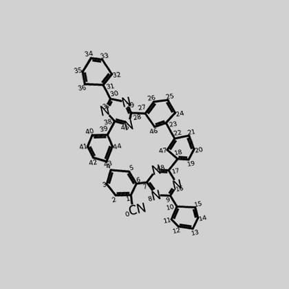 N#Cc1ccccc1-c1nc(-c2ccccc2)nc(-c2cccc(-c3cccc(-c4nc(-c5ccccc5)nc(-c5ccccc5)n4)c3)c2)n1